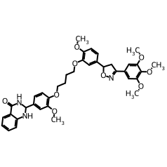 COc1cc(C2NC(=O)c3ccccc3N2)ccc1OCCCCOc1cc(C2CC(c3cc(OC)c(OC)c(OC)c3)=NO2)ccc1OC